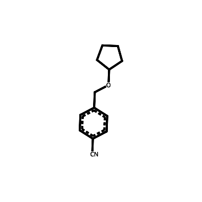 N#Cc1ccc(COC2CCCC2)cc1